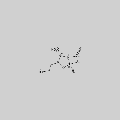 O=C(O)[C@H]1C(CCO)O[C@@H]2CC(=O)N21